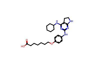 O=C(O)CCCCCCOc1ccc(Nc2nc3c(c(NC4CCCCC4)n2)CCN3)cc1